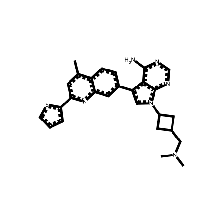 Cc1cc(-c2cccs2)nc2cc(-c3cn(C4CC(CN(C)C)C4)c4ncnc(N)c34)ccc12